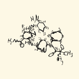 CC1(C)Oc2cccnc2N(c2ccc(Nc3nc(NC4CCCC[C@@H]4N)c(F)cc3C(N)=O)cn2)C1=O